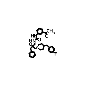 CC(=O)c1cccc(NC(=O)NC[C@@](O)(Cc2ccccc2)CN2CCC(Cc3ccc(F)cc3)CC2)c1